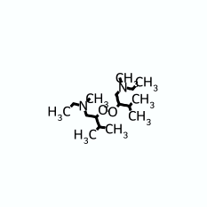 CCN(C)CC(OOC(CN(C)CC)C(C)C)C(C)C